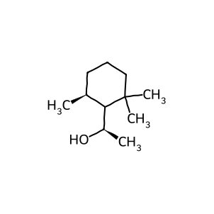 C[C@@H](O)C1[C@@H](C)CCCC1(C)C